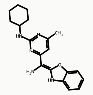 Cc1cc(/C(N)=C2/Nc3ccccc3O2)nc(NC2CCCCC2)n1